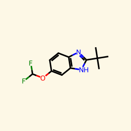 CC(C)(C)c1nc2ccc(OC(F)F)cc2[nH]1